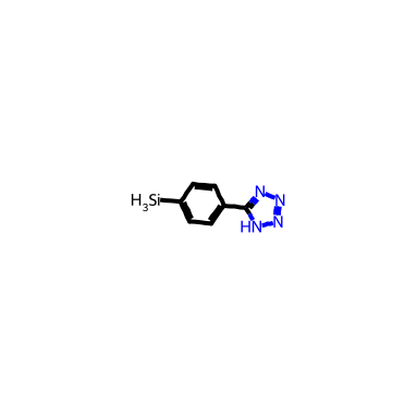 [SiH3]c1ccc(-c2nnn[nH]2)cc1